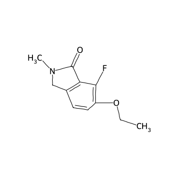 CCOc1ccc2c(c1F)C(=O)N(C)C2